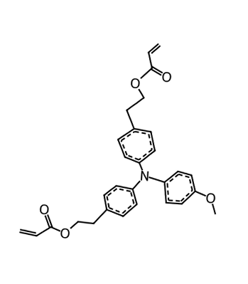 C=CC(=O)OCCc1ccc(N(c2ccc(CCOC(=O)C=C)cc2)c2ccc(OC)cc2)cc1